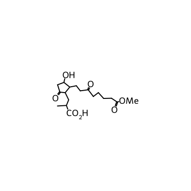 COC(=O)CCCCC(=O)CCC1C(O)CC(=O)C1CC(C)C(=O)O